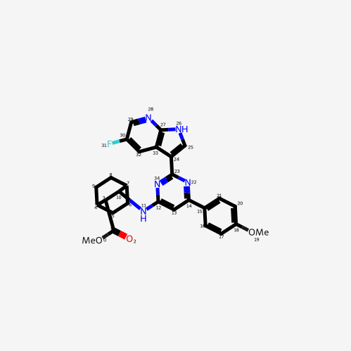 COC(=O)C1C2CCC(CC2)C1Nc1cc(-c2ccc(OC)cc2)nc(-c2c[nH]c3ncc(F)cc23)n1